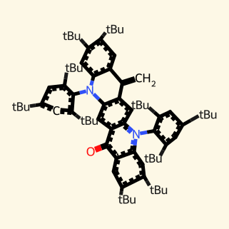 C=C1c2cc(C(C)(C)C)c(C(C)(C)C)cc2N(c2c(C(C)(C)C)cc(C(C)(C)C)cc2C(C)(C)C)c2cc3c(=O)c4cc(C(C)(C)C)c(C(C)(C)C)cc4n(-c4c(C(C)(C)C)cc(C(C)(C)C)cc4C(C)(C)C)c3cc21